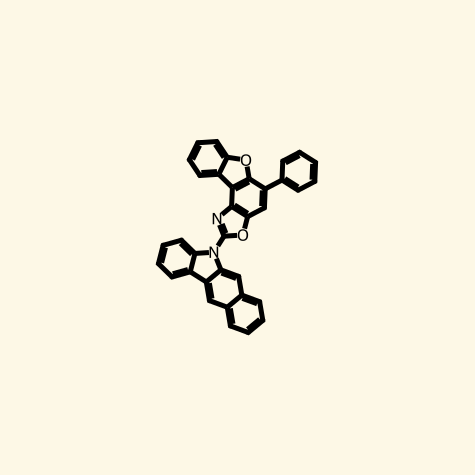 c1ccc(-c2cc3oc(-n4c5ccccc5c5cc6ccccc6cc54)nc3c3c2oc2ccccc23)cc1